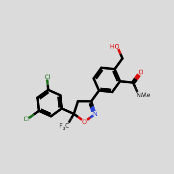 CNC(=O)c1cc(C2=NOC(c3cc(Cl)cc(Cl)c3)(C(F)(F)F)C2)ccc1CO